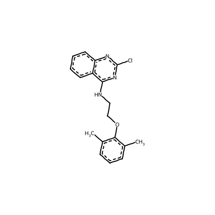 Cc1cccc(C)c1OCCNc1nc(Cl)nc2ccccc12